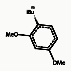 CC[C@@H](C)c1ccc(OC)cc1OC